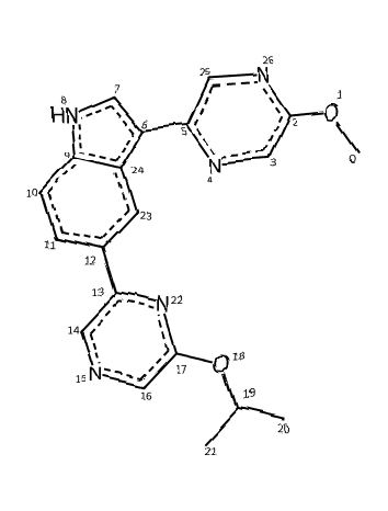 COc1cnc(-c2c[nH]c3ccc(-c4cncc(OC(C)C)n4)cc23)cn1